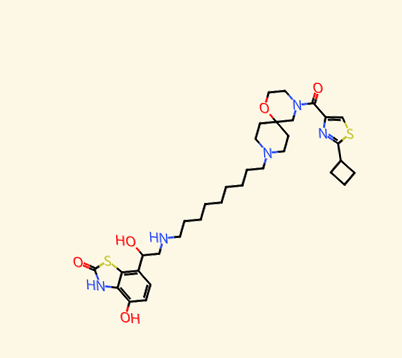 O=C(c1csc(C2CCC2)n1)N1CCOC2(CCN(CCCCCCCCCNCC(O)c3ccc(O)c4[nH]c(=O)sc34)CC2)C1